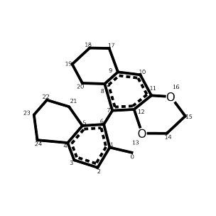 Cc1ccc2c(c1-c1c3c(cc4c1OCCO4)CCCC3)CCCC2